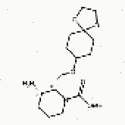 COC(=O)N1CCC[C@H](N)[C@@H]1COC1CCC2(CC1)OCCO2